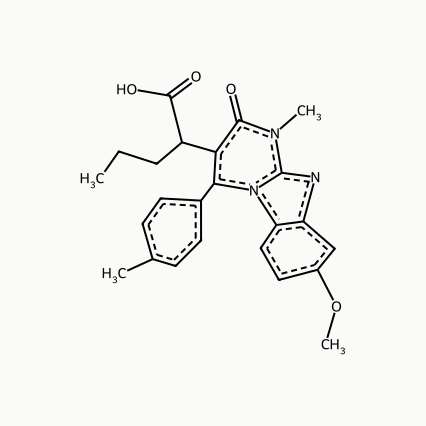 CCCC(C(=O)O)c1c(-c2ccc(C)cc2)n2c3ccc(OC)cc3nc2n(C)c1=O